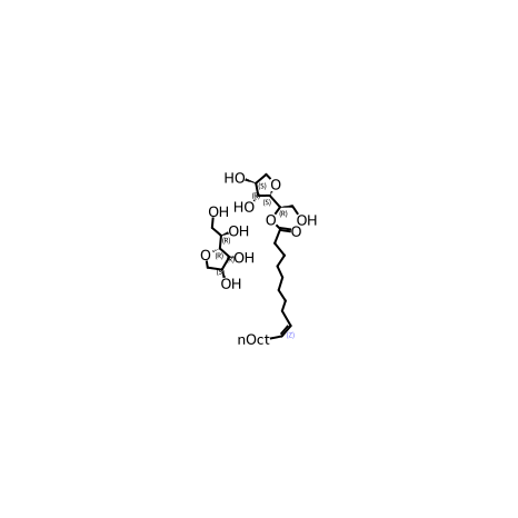 CCCCCCCC/C=C\CCCCCCCC(=O)O[C@H](CO)[C@H]1OC[C@H](O)[C@H]1O.OC[C@@H](O)[C@H]1OC[C@H](O)[C@H]1O